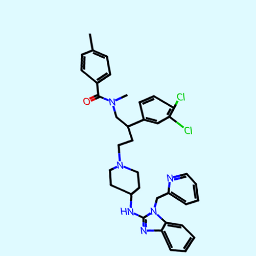 Cc1ccc(C(=O)N(C)CC(CCN2CCC(Nc3nc4ccccc4n3Cc3ccccn3)CC2)c2ccc(Cl)c(Cl)c2)cc1